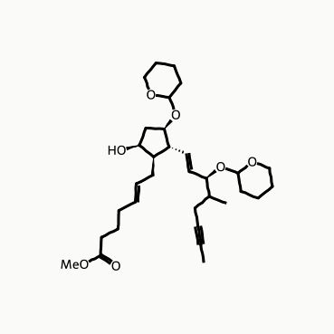 CC#CCC(C)[C@@H](C=C[C@@H]1[C@@H](CC=CCCCC(=O)OC)[C@@H](O)C[C@H]1OC1CCCCO1)OC1CCCCO1